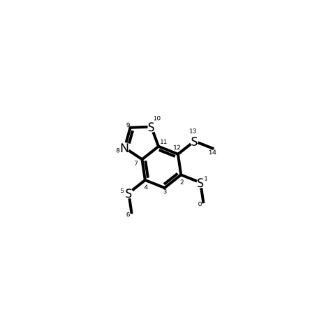 CSc1cc(SC)c2ncsc2c1SC